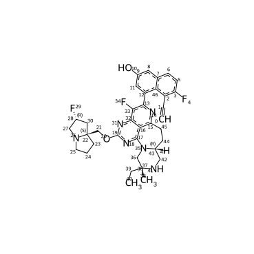 C#Cc1c(F)ccc2cc(O)cc(-c3nc4c5c(nc(OC[C@@]67CCCN6C[C@H](F)C7)nc5c3F)N3C[C@@](C)(CC)NC[C@H]3CC4)c12